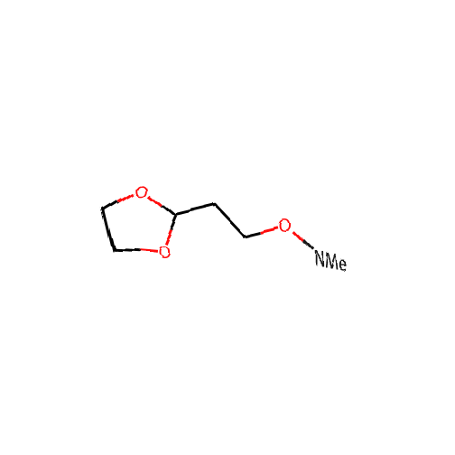 CNOCCC1OCCO1